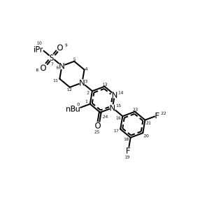 CCCCc1c(N2CCN(S(=O)(=O)C(C)C)CC2)cnn(-c2cc(F)cc(F)c2)c1=O